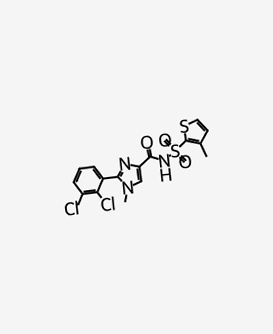 Cc1ccsc1S(=O)(=O)NC(=O)c1cn(C)c(-c2cccc(Cl)c2Cl)n1